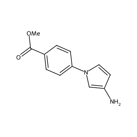 COC(=O)c1ccc(-n2ccc(N)c2)cc1